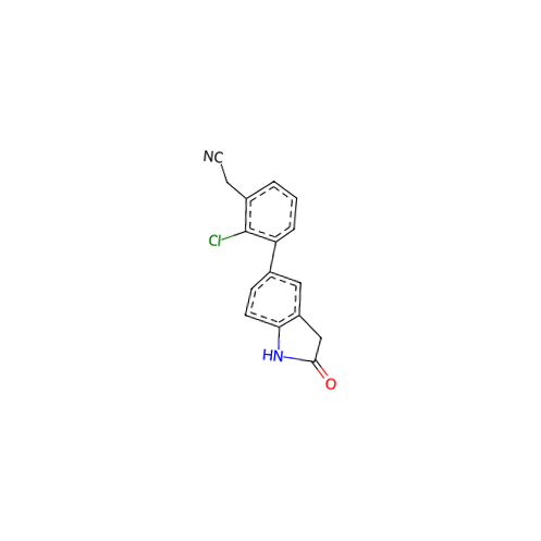 N#CCc1cccc(-c2ccc3c(c2)CC(=O)N3)c1Cl